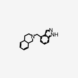 C1=CC2CCN(Cc3cccc4[nH]ncc34)CC2C=C1